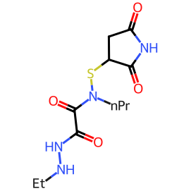 CCCN(SC1CC(=O)NC1=O)C(=O)C(=O)NNCC